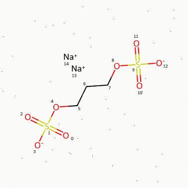 O=S(=O)([O-])OCCCOS(=O)(=O)[O-].[Na+].[Na+]